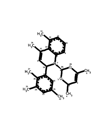 CC1=CC(C)O[C@@H](N2c3cccc(C)c3C(C)=CC2c2cc(C)cc(C)c2C)O1